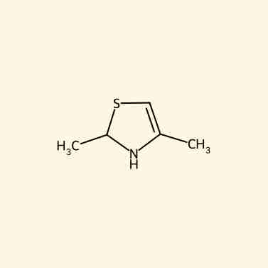 CC1=CSC(C)N1